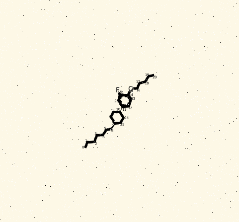 CCCCCCC[C@H]1CC[C@H](c2ccc(OCCCCC)c(F)c2)CC1